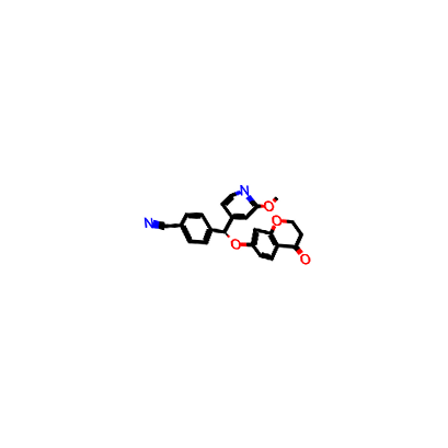 COc1cc([C@H](Oc2ccc3c(c2)OCCC3=O)c2ccc(C#N)cc2)ccn1